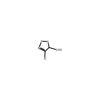 O=CC1SSN=C1Cl